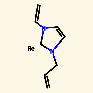 C=CCN1C=CN(C=C)C1.[Re]